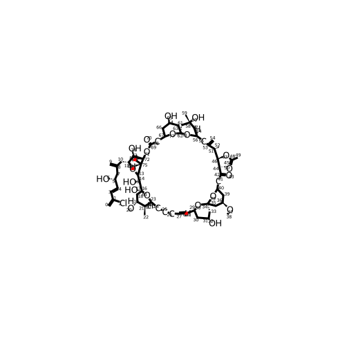 C=C(Cl)/C=C/[C@H](O)CC(=C)C[C@H]1OC2[C@@H](O)[C@]3(O)C[C@@H](O)[C@H](C)[C@H](CCC/C=C\[C@@H]4C[C@@H](O)C[C@]5(C[C@H](OC)CC(CC(=O)[C@@H](C)[C@H](OC(C)=O)[C@@H](C)C(=C)C[C@@H]6C[C@@](C)(O)C[C@]7(C[C@H](O)CC(CC(=O)O[C@@H]([C@@H]1O)[C@H]2C)O7)O6)O5)O4)O3